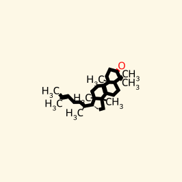 CC(C)=CCC[C@@H](C)[C@H]1CC[C@@]2(C)C3=C(CC[C@]12C)[C@@]1(C)CCC(=O)C(C)(C)C1CC3